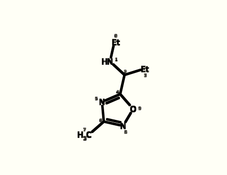 CCNC(CC)c1nc(C)no1